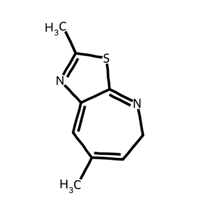 CC1=CCN=c2sc(C)nc2=C1